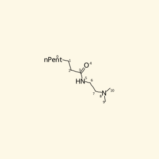 CCCCCCCC(=O)NCCN(C)C